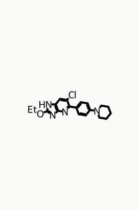 CCOc1nc2nc(-c3ccc(N4CCCCC4)cc3)c(Cl)cc2[nH]1